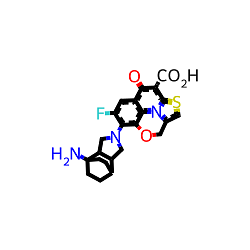 NC12CCC(CC1)C1CN(c3c(F)cc4c(=O)c(C(=O)O)c5scc6n5c4c3OC6)CC12